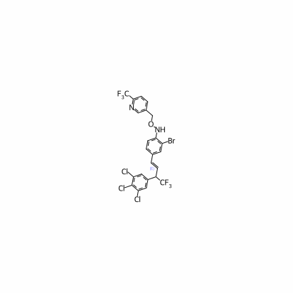 FC(F)(F)c1ccc(CONc2ccc(/C=C/C(c3cc(Cl)c(Cl)c(Cl)c3)C(F)(F)F)cc2Br)cn1